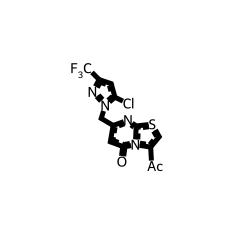 CC(=O)c1csc2nc(Cn3nc(C(F)(F)F)cc3Cl)cc(=O)n12